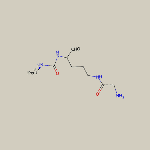 CCC[C@H](C)NC(=O)NC(C=O)CCCNC(=O)CN